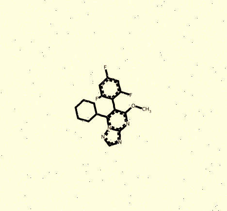 COc1nc2ncnn2c(C2CCCCC2)c1-c1c(F)cc(F)cc1F